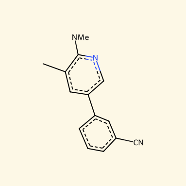 CNc1ncc(-c2cccc(C#N)c2)cc1C